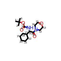 CC(C)(C)OC(=O)N[C@H](C(=O)N1CCOCC1)C1CCCCC1